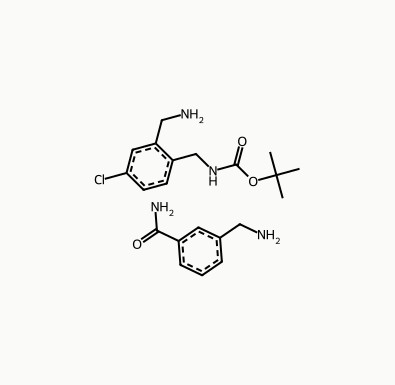 CC(C)(C)OC(=O)NCc1ccc(Cl)cc1CN.NCc1cccc(C(N)=O)c1